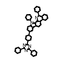 c1ccc(-c2nc(-c3ccccc3)nc(-c3ccc(-c4ccc5c(c4)c4ccc6c7ccccc7c(-c7ccccc7)nc6c4n5-c4ccccc4)cc3)n2)cc1